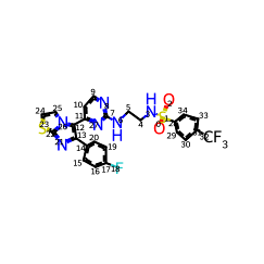 O=S(=O)(NCCNc1nccc(-c2c(-c3ccc(F)cc3)nc3sccn23)n1)c1ccc(C(F)(F)F)cc1